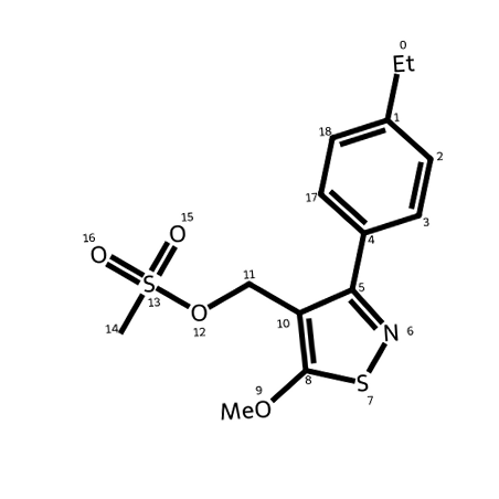 CCc1ccc(-c2nsc(OC)c2COS(C)(=O)=O)cc1